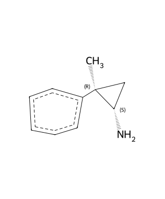 C[C@]1(c2ccccc2)C[C@@H]1N